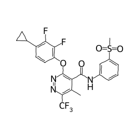 Cc1c(C(F)(F)F)nnc(Oc2ccc(C3CC3)c(F)c2F)c1C(=O)Nc1cccc(S(C)(=O)=O)c1